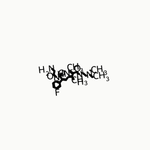 CCN(CC)CCNC(=O)c1c(C)[nH]c(C=C2C(=O)N(C(=O)CN)c3ccc(F)cc32)c1C